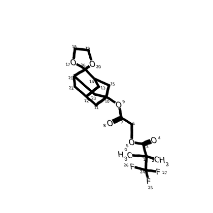 CC(C)(C(=O)OCC(=O)OC12CC3CC(C1)C1(OCCO1)C(C3)C2)C(F)(F)F